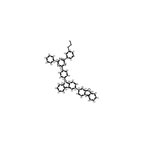 CCCc1cccc(-c2nc(-c3ccccc3)nc(-c3ccc(-n4c5ccccc5c5cc(-c6ccc7c(c6)oc6ccccc67)ccc54)cc3)n2)c1